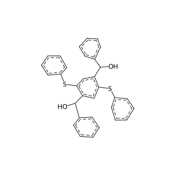 OC(c1ccccc1)c1cc(Sc2ccccc2)c(C(O)c2ccccc2)cc1Sc1ccccc1